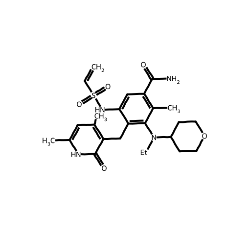 C=CS(=O)(=O)Nc1cc(C(N)=O)c(C)c(N(CC)C2CCOCC2)c1Cc1c(C)cc(C)[nH]c1=O